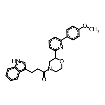 COc1ccc(-c2cccc(C3CN(C(=O)CCc4c[nH]c5ccccc45)CCO3)n2)cc1